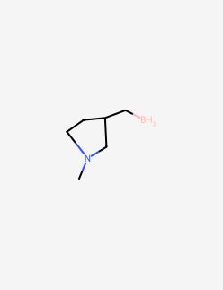 BCC1CCN(C)C1